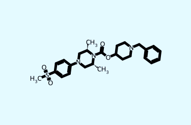 C[C@@H]1CN(c2ccc(S(C)(=O)=O)cc2)C[C@H](C)N1C(=O)OC1CCN(Cc2ccccc2)CC1